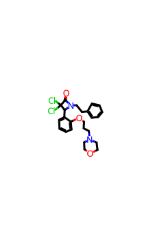 O=C1N(CCc2ccccc2)C(c2ccccc2OCCCN2CCOCC2)C1(Cl)Cl